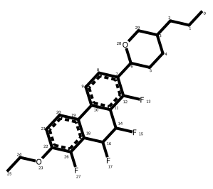 CCCC1CCC(c2ccc3c(c2F)C(F)C(F)c2c-3ccc(OCC)c2F)OC1